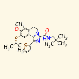 COc1cc2c(cc1SC(C)C)-c1c(-c3cccs3)nc(C(=O)NCC(C)(C)C)n1CC2